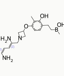 CB(O)CCc1ccc(OC2CN(C/C(N)=C/C=C\N)C2)c(C)c1O